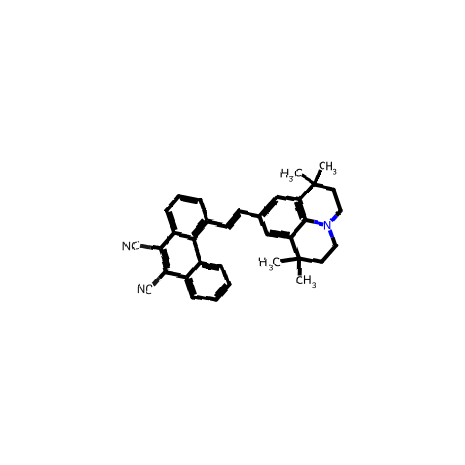 CC1(C)CCN2CCC(C)(C)c3cc(C=Cc4cccc5c(C#N)c(C#N)c6ccccc6c45)cc1c32